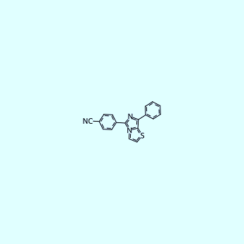 N#Cc1ccc(-c2nc(-c3ccccc3)c3sccn23)cc1